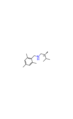 Cc1cc(C)c(CNC[C@@H](C)C(C)C)c(C)c1